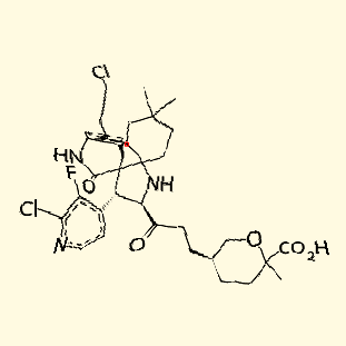 CC1(C)CCC2(CC1)N[C@@H](C(=O)CC[C@@H]1CCC(C)(C(=O)O)OC1)[C@H](c1ccnc(Cl)c1F)[C@]21C(=O)Nc2cc(Cl)ccc21